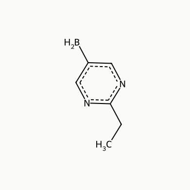 Bc1cnc(CC)nc1